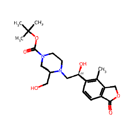 Cc1c([C@H](O)CN2CCN(C(=O)OC(C)(C)C)CC2CO)ccc2c1COC2=O